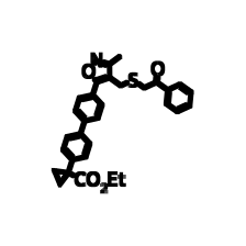 CCOC(=O)C1(c2ccc(-c3ccc(-c4onc(C)c4CSCC(=O)c4ccccc4)cc3)cc2)CC1